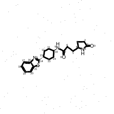 O=C1CCC(CCC(=O)N[C@H]2CC[C@@H](c3nc4ccccc4s3)CC2)N1